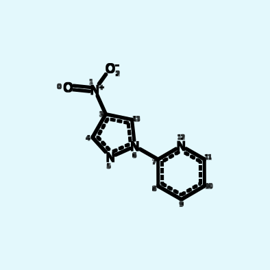 O=[N+]([O-])c1cnn(-c2ccccn2)c1